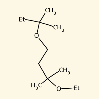 CCOC(C)(C)CCOC(C)(C)CC